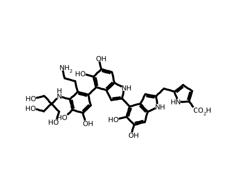 NCCc1c(-c2c(O)c(O)cc3[nH]c(-c4c(O)c(O)cc5[nH]c(Cc6ccc(C(=O)O)[nH]6)cc45)cc23)cc(O)c(O)c1NC(CO)(CO)CO